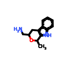 CC1OC(CN)Cc2c1[nH]c1ccccc21